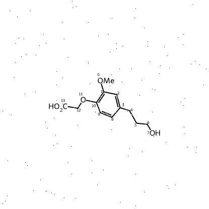 COc1cc(CCCO)ccc1OCC(=O)O